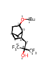 CCC(C)OC1CC2CC(CC(O)(C(F)(F)F)C(F)(F)F)C1C2